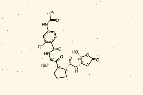 CC(C)C(=O)Nc1ccc(C(=O)N[C@H](C(=O)N2CCC[C@H]2C(=O)N[C@H]2CC(=O)O[C@H]2O)C(C)(C)C)c(Cl)c1